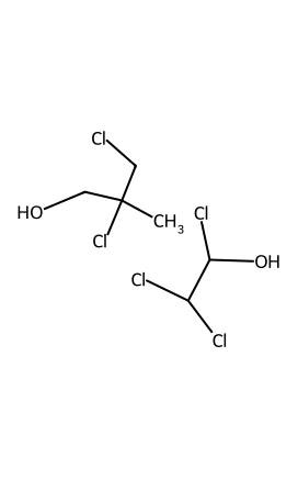 CC(Cl)(CO)CCl.OC(Cl)C(Cl)Cl